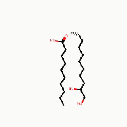 CCCCCCCCCC(=O)O.O=C(O)CCCCCCCC(O)CO